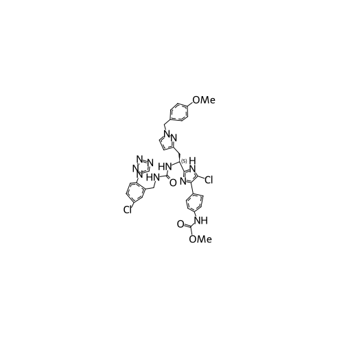 COC(=O)Nc1ccc(-c2nc([C@H](Cc3ccn(Cc4ccc(OC)cc4)n3)NC(=O)NCc3cc(Cl)ccc3-n3cnnn3)[nH]c2Cl)cc1